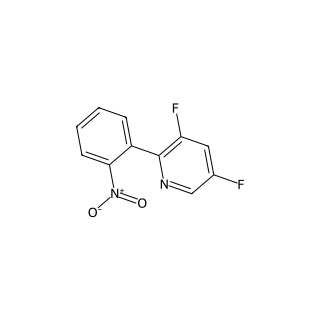 O=[N+]([O-])c1ccccc1-c1ncc(F)cc1F